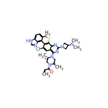 C=CC(=O)N1C[C@H](C)N(c2nc(N3CC(N(C)C)C3)nc3c(F)c(-c4c(C)ccc5[nH]cnc45)c(Cl)cc23)C[C@H]1C